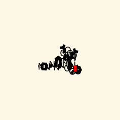 COC(=O)C(C)N[P@](=O)(OC[C@@]1(C#N)O[C@@H](c2ccc3c(/N=C/N4CCN(C)CC4)ncnn23)[C@H](OC(=O)C(C)C)[C@@H]1OC(=O)C(C)C)Oc1ccccc1